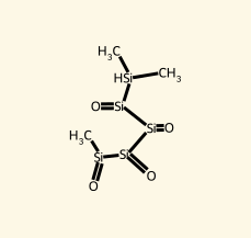 C[Si](=O)[Si](=O)[Si](=O)[Si](=O)[SiH](C)C